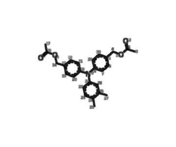 CC(=O)OCc1ccc(N(c2ccc(COC(C)=O)cc2)c2ccc(C)c(C)c2)cc1